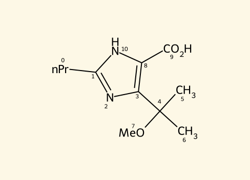 CCCc1nc(C(C)(C)OC)c(C(=O)O)[nH]1